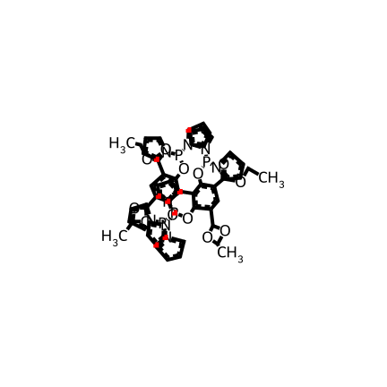 CCOC(=O)c1cc(C2OC(C)O2)c(OP(n2cccc2)n2cccc2)c(-c2c(OP(n3cccc3)n3cccc3)c(C(=O)OCC)cc(C3OC(C)O3)c2OP(n2cccc2)n2cccc2)c1OP(n1cccc1)n1cccc1